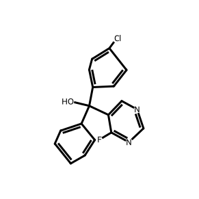 OC(c1ccccc1)(c1ccc(Cl)cc1)c1cncnc1F